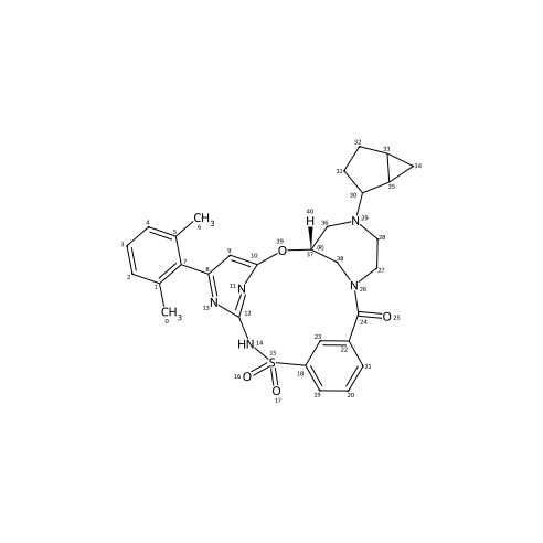 Cc1cccc(C)c1-c1cc2nc(n1)NS(=O)(=O)c1cccc(c1)C(=O)N1CCN(C3CCC4CC43)C[C@H](C1)O2